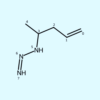 C=CCC(C)NN=N